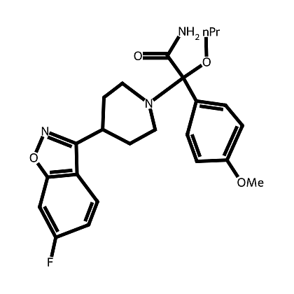 CCCOC(C(N)=O)(c1ccc(OC)cc1)N1CCC(c2noc3cc(F)ccc23)CC1